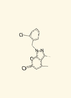 Cc1cc(=O)oc2c1c(C)nn2Cc1ccccc1Cl